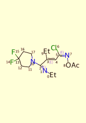 CC\N=C(/C(=C/C(Cl)=N\OC(C)=O)CC)N1CCC(F)(F)CC1